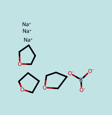 C1CCOC1.C1CCOC1.C1CCOC1.[Na+].[Na+].[Na+].[O-]B([O-])[O-]